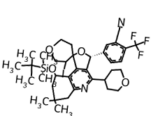 CC1(C)Cc2nc(C3CCOCC3)c3c(c2C(O[Si](C)(C)C(C)(C)C)C1)C1(CCOCC1I)O[C@@H]3c1ccc(C(F)(F)F)c(C#N)c1